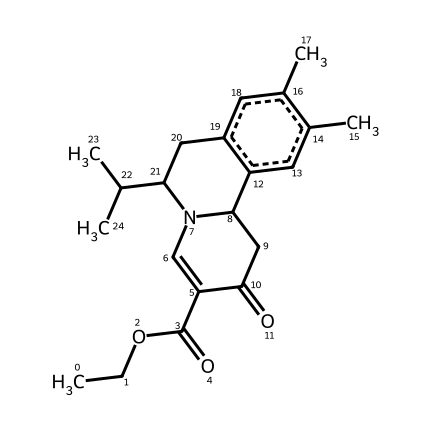 CCOC(=O)C1=CN2C(CC1=O)c1cc(C)c(C)cc1CC2C(C)C